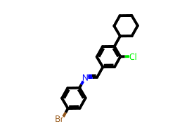 Clc1cc(/C=N/c2ccc(Br)cc2)ccc1C1CCCCC1